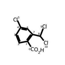 O=C(O)c1ccc(Cl)cc1C(Cl)Cl